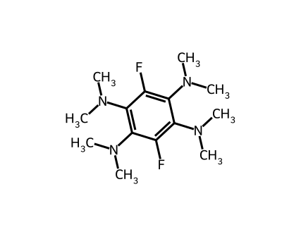 CN(C)c1c(F)c(N(C)C)c(N(C)C)c(F)c1N(C)C